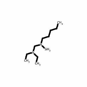 CCCCCN([SiH3])CN(CC)CC